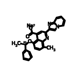 Cc1ccc(O[C@H](C)c2ccccc2)c2c(C(=O)[O-])cc(-c3cn4ccccc4n3)nc12.[Na+]